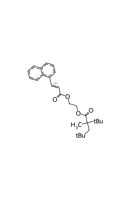 CC(C)(C)CC(C)(C(=O)OCCOC(=O)/C=C/c1cccc2ccccc12)C(C)(C)C